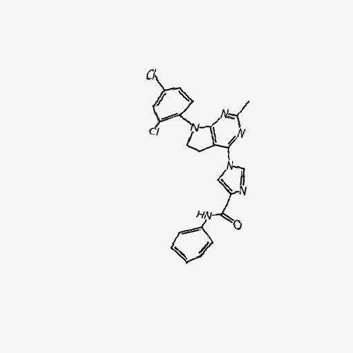 Cc1nc2c(c(-n3cnc(C(=O)Nc4ccccc4)c3)n1)CCN2c1ccc(Cl)cc1Cl